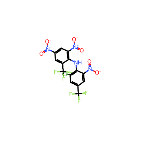 O=[N+]([O-])c1cc([N+](=O)[O-])c(Nc2c(Cl)cc(C(F)(F)F)cc2[N+](=O)[O-])c(C(F)(F)F)c1